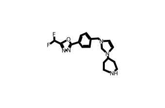 FC(F)c1nnc(-c2ccc(CN3C=CN(C4CCNCC4)C3)cc2)o1